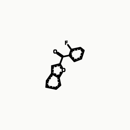 O=C(c1cc2ccccc2o1)c1ccccc1F